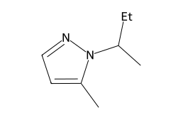 CCC(C)n1nccc1C